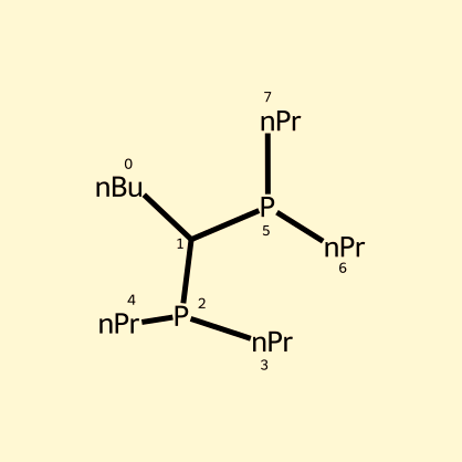 CCCCC(P(CCC)CCC)P(CCC)CCC